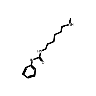 CNCCCCCCNC(=O)Nc1ccccc1